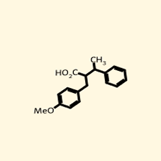 COc1ccc(CC(C(=O)O)C(C)c2ccccc2)cc1